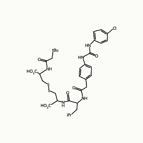 CC(C)CC(NC(=O)Cc1ccc(NC(=O)Nc2ccc(Cl)cc2)cc1)C(=O)NC(CSSCC(NC(=O)CC(C)(C)C)C(=O)O)C(=O)O